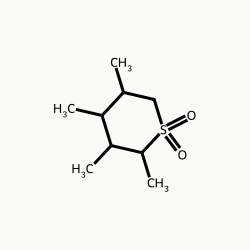 CC1CS(=O)(=O)C(C)C(C)C1C